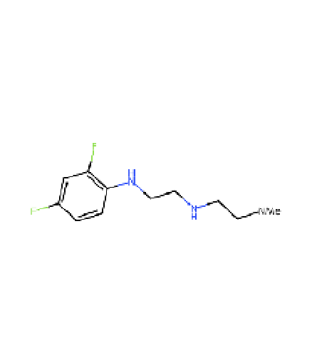 CNCCNCCNc1ccc(F)cc1F